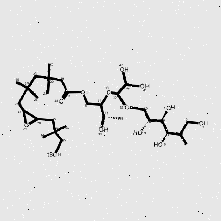 CC(CO)[C@@H](O)[C@H](O)[C@H](O)COC(OC(COC(=O)CC(C)(C)CC(C)(C)CC1OC1CC(C)(C)CC(C)(C)C)[C@H](C)O)C(O)O